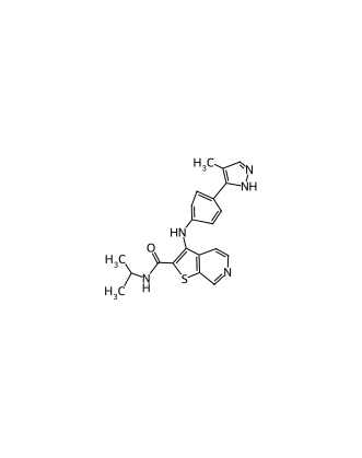 Cc1cn[nH]c1-c1ccc(Nc2c(C(=O)NC(C)C)sc3cnccc23)cc1